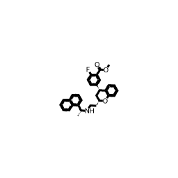 COC(=O)c1cc([C@H]2C[C@@H](CCN[C@H](C)c3cccc4ccccc34)Oc3ccccc32)ccc1F